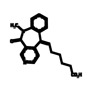 CN1C(=O)c2cnccc2/C(=C\CCCCC(=O)O)c2ccccc21